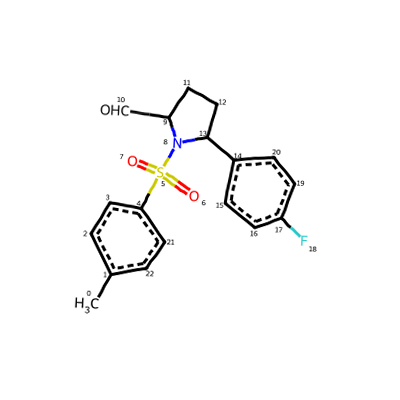 Cc1ccc(S(=O)(=O)N2C(C=O)CCC2c2ccc(F)cc2)cc1